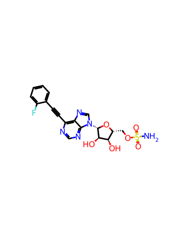 NS(=O)(=O)OC[C@H]1O[C@@H](n2cnc3c(C#Cc4ccccc4F)ncnc32)[C@H](O)[C@@H]1O